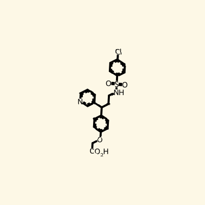 O=C(O)COc1ccc(C(CCNS(=O)(=O)c2ccc(Cl)cc2)c2cccnc2)cc1